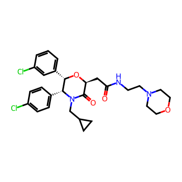 O=C(C[C@@H]1O[C@@H](c2cccc(Cl)c2)[C@@H](c2ccc(Cl)cc2)N(CC2CC2)C1=O)NCCN1CCOCC1